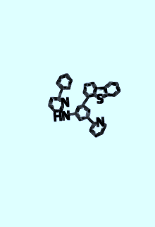 c1ccc(-c2cccc(Nc3cc(-c4ccccn4)cc(-c4cccc5c4sc4ccccc45)c3)n2)cc1